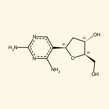 Nc1ncc([C@H]2C[C@H](O)[C@@H](CO)O2)c(N)n1